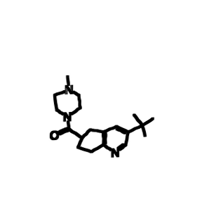 CN1CCN(C(=O)C2CCc3ncc(C(C)(C)C)cc3C2)CC1